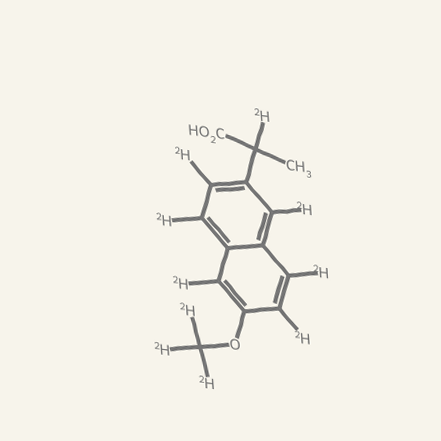 [2H]c1c(C([2H])(C)C(=O)O)c([2H])c2c([2H])c([2H])c(OC([2H])([2H])[2H])c([2H])c2c1[2H]